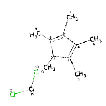 C[C]1C(C)=C(C)C(C)=C1C.[Cl][Cr][Cl]